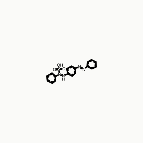 O=S(=O)(O)N(Nc1ccc(N=Nc2ccccc2)cc1)c1ccccc1